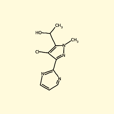 CC(O)c1c(Cl)c(-c2ncccn2)nn1C